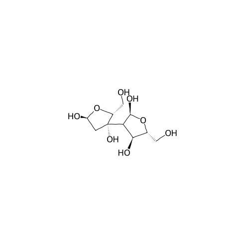 OC[C@H]1O[C@H](O)C([C@@]2(O)C[C@@H](O)O[C@@H]2CO)[C@@H]1O